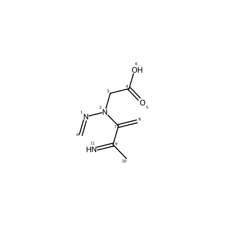 C=NN(CC(=O)O)C(=C)C(C)=N